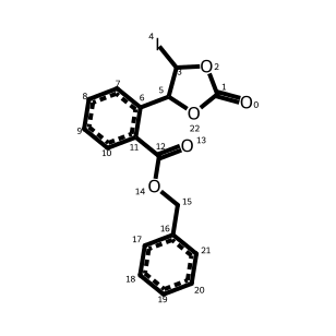 O=C1OC(I)C(c2ccccc2C(=O)OCc2ccccc2)O1